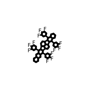 Fc1cc(-c2c3c(c(-c4cc(F)c(F)c(F)c4)c4ccccc24)-c2ccc4c5c(ccc-3c25)-c2c-4c(-c3cc(F)c(F)c(F)c3)c3cc4ccccc4cc3c2-c2cc(F)c(F)c(F)c2)cc(F)c1F